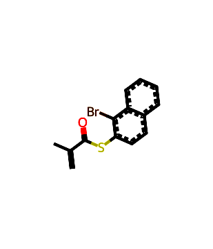 C=C(C)C(=O)Sc1ccc2ccccc2c1Br